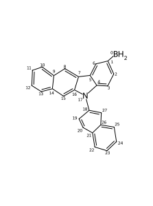 Bc1ccc2c(c1)c1cc3ccccc3cc1n2-c1ccc2ccccc2c1